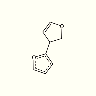 [C]1OC=CC1c1ccco1